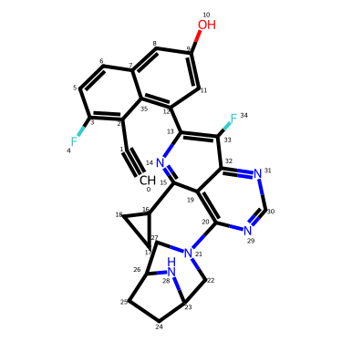 C#Cc1c(F)ccc2cc(O)cc(-c3nc(C4CC4)c4c(N5CC6CCC(C5)N6)ncnc4c3F)c12